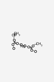 CCCc1ccc(N(c2ccc(-c3ccc(-c4ccc(-c5ccc(N(c6ccc(CCC(=O)OC)cc6)c6cccc(-c7ccccc7)c6)cc5)cn4)nc3)cc2)c2cccc(-c3ccccc3)c2)cc1